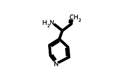 C=CC(N)c1ccncc1